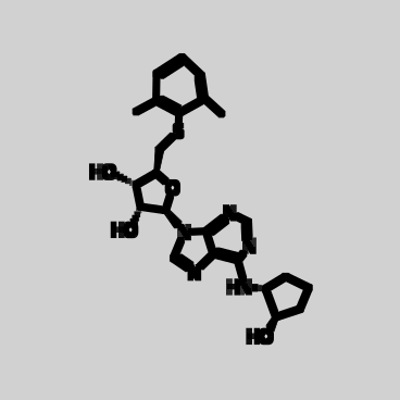 Cc1cccc(C)c1SC[C@H]1O[C@@H](n2cnc3c(N[C@@H]4CCC[C@H]4O)ncnc32)[C@H](O)[C@@H]1O